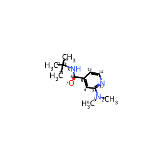 CN(C)c1cc(C(=O)NC(C)(C)C)ccn1